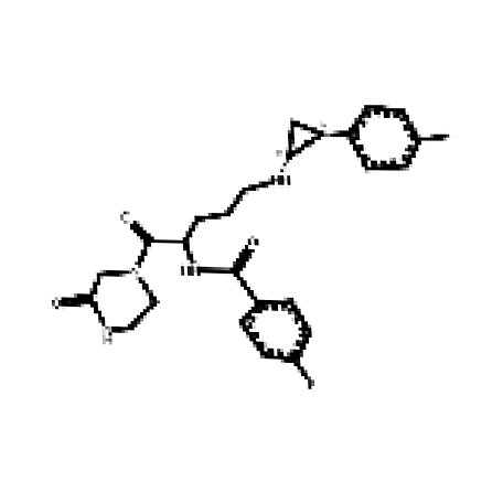 O=C1CN(C(=O)C(CCCN[C@@H]2C[C@H]2c2ccc(F)cc2)NC(=O)c2ccc(F)cc2)CCN1